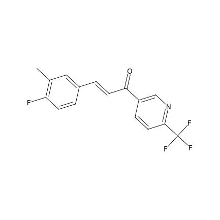 Cc1cc(/C=C/C(=O)c2ccc(C(F)(F)F)nc2)ccc1F